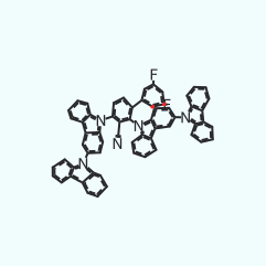 N#Cc1c(-n2c3ccccc3c3cc(-n4c5ccccc5c5ccccc54)ccc32)ccc(-c2cc(F)cc(F)c2)c1-n1c2ccccc2c2cc(-n3c4ccccc4c4ccccc43)ccc21